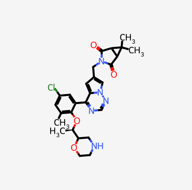 Cc1cc(Cl)cc(-c2ncnn3cc(CN4C(=O)C5C(C4=O)C5(C)C)cc23)c1O[C@H](C)C1CNCCO1